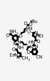 CCn1nc(C)cc1C(=O)Nc1nc2cc(C(N)=O)cc(OCCCNC(=O)OC(C)(C)C)c2n1CCC[C@H]1COc2cc(C#N)cc3nc(NC(=O)c4cc(C)nn4CC)n1c23